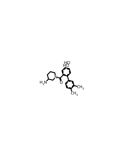 Cc1ccc(-c2ccccc2C(=O)N2CCCC(N)C2)cc1C.Cl.Cl